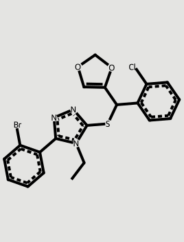 CCn1c(SC(C2=COCO2)c2ccccc2Cl)nnc1-c1ccccc1Br